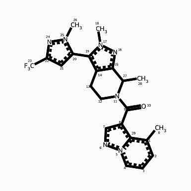 Cc1cccn2ncc(C(=O)N3CCc4c(nn(C)c4-c4cc(C(F)(F)F)nn4C)C3C)c12